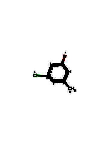 Cc1[c]c(Cl)cc(Br)c1